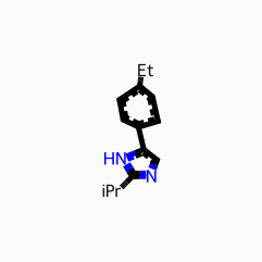 CCc1ccc(-c2cnc(C(C)C)[nH]2)cc1